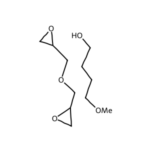 C(OCC1CO1)C1CO1.COCCCCO